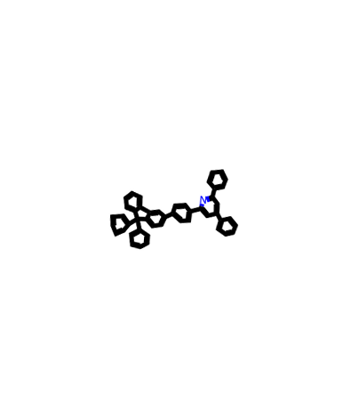 c1ccc(-c2cc(-c3ccccc3)nc(-c3ccc(-c4ccc5c(c4)-c4ccccc4C5(c4ccccc4)c4ccccc4)cc3)c2)cc1